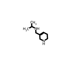 CC(C)NCC1=CCCNC1